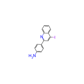 Nc1ccc(-c2cc(I)c3ccccc3n2)cc1